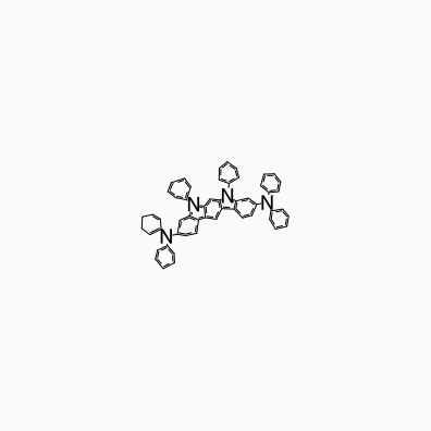 C1=CC(N(c2ccccc2)c2ccc3c4cc5c6ccc(N(c7ccccc7)c7ccccc7)cc6n(-c6ccccc6)c5cc4n(-c4ccccc4)c3c2)=CCC1